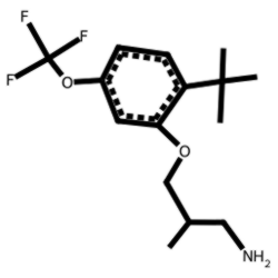 CC(CN)COc1cc(OC(F)(F)F)ccc1C(C)(C)C